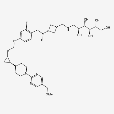 COCc1cnc(N2CCC([C@H]3C[C@H]3CCOc3ccc(CC(=O)N4CC(CNC[C@H](O)[C@@H](O)[C@H](O)[C@H](O)CO)C4)c(F)c3)CC2)nc1